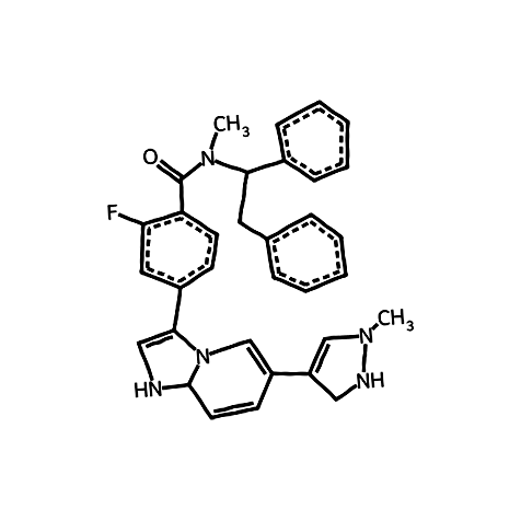 CN1C=C(C2=CN3C(c4ccc(C(=O)N(C)C(Cc5ccccc5)c5ccccc5)c(F)c4)=CNC3C=C2)CN1